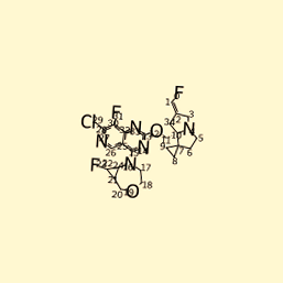 F/C=C1\CN2CCC3(CC3)[C@@]2(COc2nc(N3CCOCC4C(F)C43)c3cnc(Cl)c(F)c3n2)C1